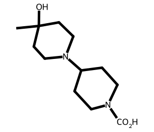 CC1(O)CCN(C2CCN(C(=O)O)CC2)CC1